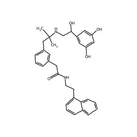 CC(C)(Cc1cccc(CC(=O)NCCc2cccc3ccccc23)c1)NCC(O)c1cc(O)cc(O)c1